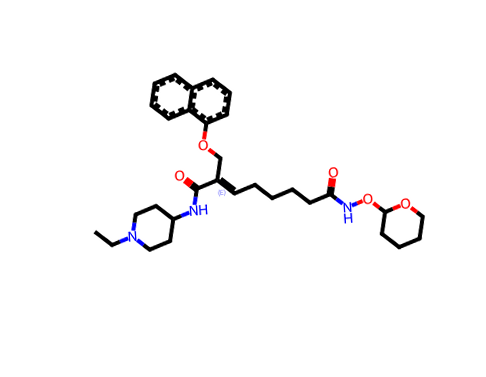 CCN1CCC(NC(=O)/C(=C/CCCCC(=O)NOC2CCCCO2)COc2cccc3ccccc23)CC1